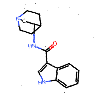 O=C(NC1CN2CCC1CC2)c1c[nH]c2ccccc12